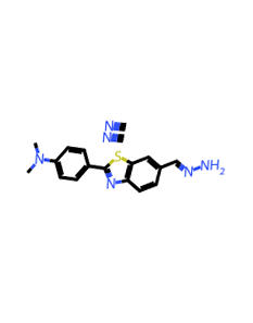 C#N.C#N.CN(C)c1ccc(-c2nc3ccc(C=NN)cc3s2)cc1